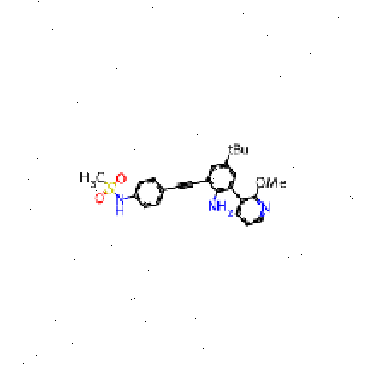 COc1ncccc1-c1cc(C(C)(C)C)cc(C#Cc2ccc(NS(C)(=O)=O)cc2)c1N